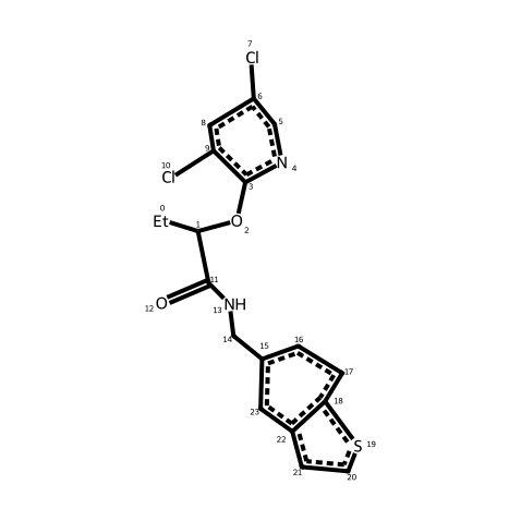 CCC(Oc1ncc(Cl)cc1Cl)C(=O)NCc1ccc2sccc2c1